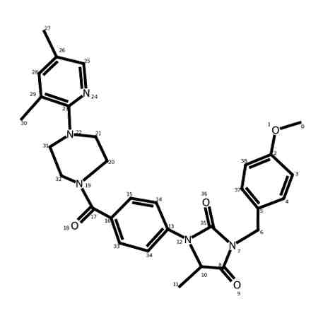 COc1ccc(CN2C(=O)C(C)N(c3ccc(C(=O)N4CCN(c5ncc(C)cc5C)CC4)cc3)C2=O)cc1